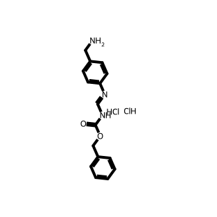 Cl.Cl.NCc1ccc(/N=C/NC(=O)OCc2ccccc2)cc1